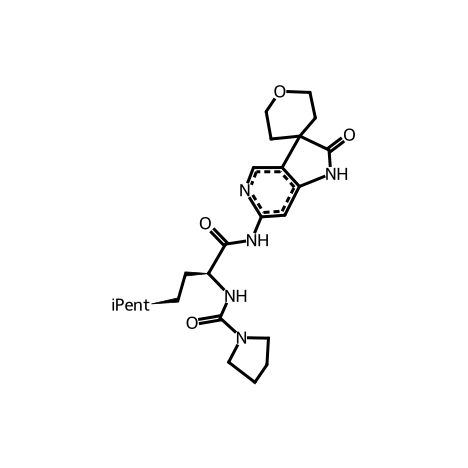 CCC[C@H](C)CC[C@H](NC(=O)N1CCCC1)C(=O)Nc1cc2c(cn1)C1(CCOCC1)C(=O)N2